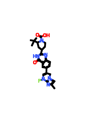 Cc1cn2c(n1)N(F)C=C(c1ccc3nc(C4CCN(C(=O)O)C(C(C)(C)C)C4)[nH]c(=O)c3c1)C2